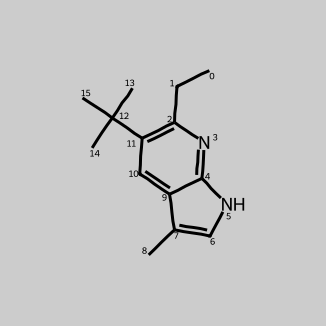 CCc1nc2[nH]cc(C)c2cc1C(C)(C)C